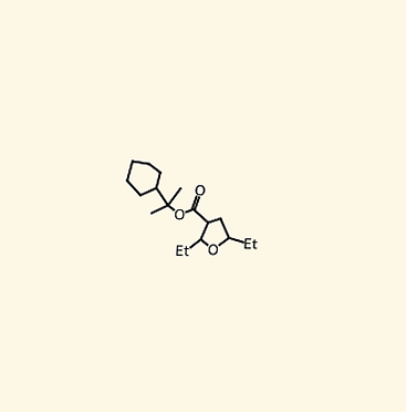 CCC1CC(C(=O)OC(C)(C)C2CCCCC2)C(CC)O1